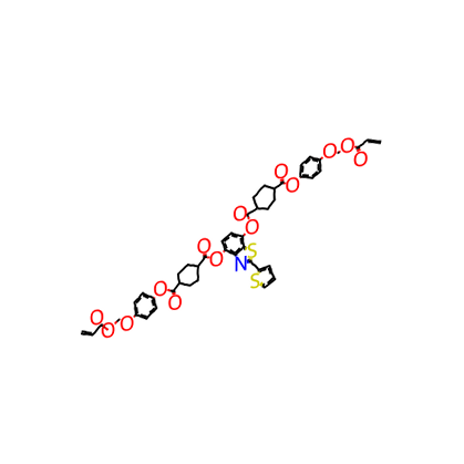 C=CC(=O)OCOc1ccc(OC(=O)C2CCC(C(=O)Oc3ccc(OC(=O)C4CCC(C(=O)Oc5ccc(OCOC(=O)C=C)cc5)CC4)c4sc(-c5cccs5)nc34)CC2)cc1